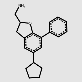 NCC1Cc2cc(C3CCCC3)cc(-c3ccccc3)c2O1